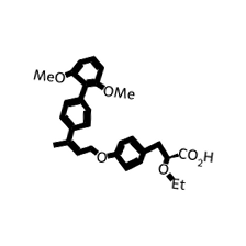 CCO[C@@H](Cc1ccc(OCC=C(C)c2ccc(-c3c(OC)cccc3OC)cc2)cc1)C(=O)O